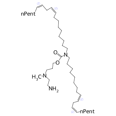 CCCCC/C=C\C/C=C\CCCCCCCCN(CCCCCCCC/C=C\C/C=C\CCCCC)C(=O)OCCCN(C)CCN